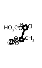 Cc1ccc(S(=O)(=O)N2CCOCC2)cc1C#Cc1cc(Cl)ccc1OC(C(=O)O)C(C)(C)C